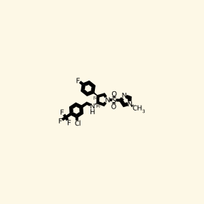 Cn1cnc(S(=O)(=O)N2C[C@H](NCc3ccc(C(F)(F)F)c(Cl)c3)[C@@H](c3ccc(F)cc3)C2)c1